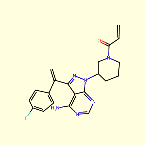 C=CC(=O)N1CCCC(n2nc(C(=C)c3ccc(F)cc3)c3c(N)ncnc32)C1